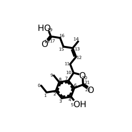 CCc1cc(O)c2c(c1C)C(CC=C(C)CCC(=O)O)OC2=O